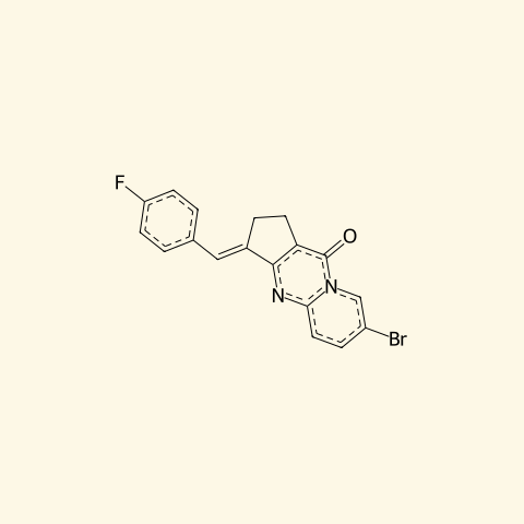 O=c1c2c(nc3ccc(Br)cn13)C(=Cc1ccc(F)cc1)CC2